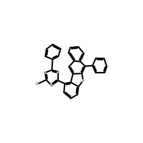 Clc1nc(-c2ccccc2)nc(-c2cccc3sc4c(-c5ccccc5)c5ccccc5cc4c23)n1